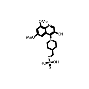 COc1cc(OC)c2ncc(C#N)c(N3CCC(COP(O)(O)=S)CC3)c2c1